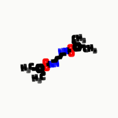 CCc1ccc(OC(=O)NCCCCCCNC(=O)Oc2ccc(CC)cc2CC)c(CC)c1